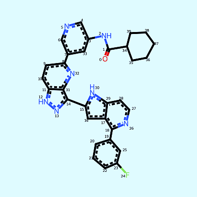 O=C(Nc1cncc(-c2ccc3[nH]nc(-c4cc5c(-c6cccc(F)c6)nccc5[nH]4)c3n2)c1)C1CCCCC1